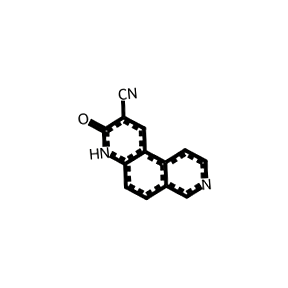 N#Cc1cc2c(ccc3cnccc32)[nH]c1=O